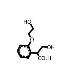 O=C(O)C(CO)c1ccccc1OCCO